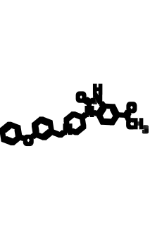 CC(=O)c1ccc2c(c1)[nH]c(=O)n2C1CCN(Cc2cccc(Oc3ccccc3)c2)CC1